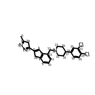 CC1=NN=C(C2=Cc3c(cccc3CN3CCC(c4ccc(Cl)c(Cl)c4)CC3)C2)C1